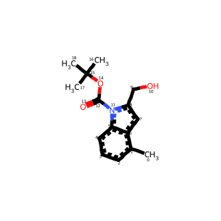 Cc1cccc2c1cc(CO)n2C(=O)OC(C)(C)C